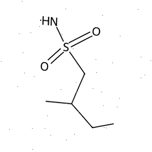 CCC(C)CS([NH])(=O)=O